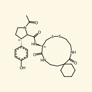 CC(=O)N1CC[C@@H](c2ccc(O)cc2)C1C(=O)N[C@H]1CSSCCNC(=O)C2(CCCCC2)CCNC1=O